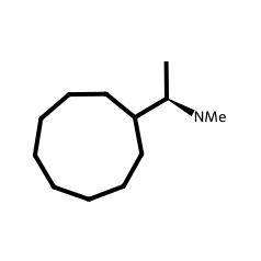 CN[C@H](C)C1CCCCCCCC1